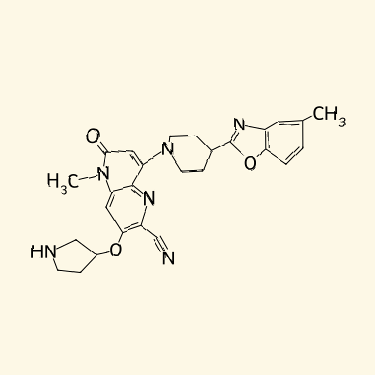 Cc1ccc2oc(C3CCN(c4cc(=O)n(C)c5cc(OC6CCNC6)c(C#N)nc45)CC3)nc2c1